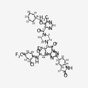 CCc1c(N2CCN(C(=O)c3ncnc(C)c3OCc3ccccc3)CC2)c(=O)n2nc(-c3ccc4c(c3)CC(=O)N4)nc2n1CC(=O)Nc1ccc(C(F)(F)F)cc1Cl